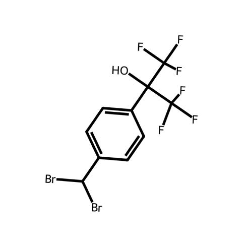 OC(c1ccc(C(Br)Br)cc1)(C(F)(F)F)C(F)(F)F